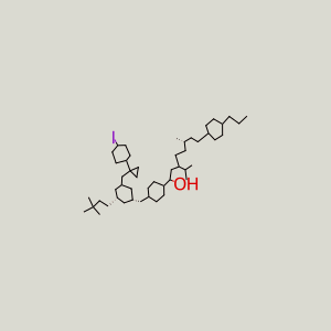 CCCC1CCC(CC[C@@H](C)CCC(CC(O)C2CCC(C[C@H]3CC(CC4(C5CCC(I)CC5)CC4)C[C@@H](CCC(C)(C)C)C3)CC2)C(C)C)CC1